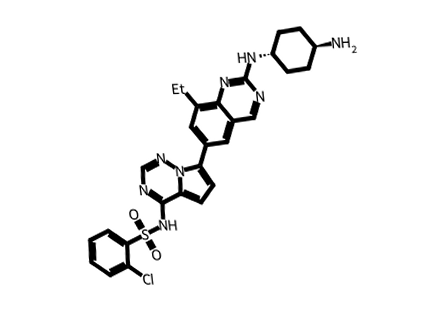 CCc1cc(-c2ccc3c(NS(=O)(=O)c4ccccc4Cl)ncnn23)cc2cnc(N[C@H]3CC[C@H](N)CC3)nc12